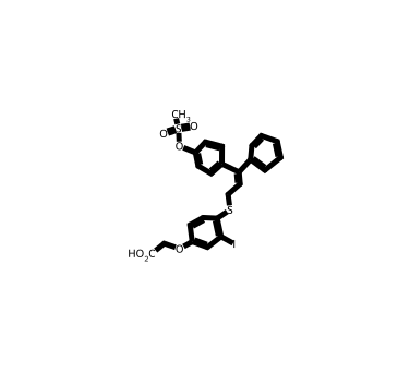 CS(=O)(=O)Oc1ccc(/C(=C\CSc2ccc(OCC(=O)O)cc2I)c2ccccc2)cc1